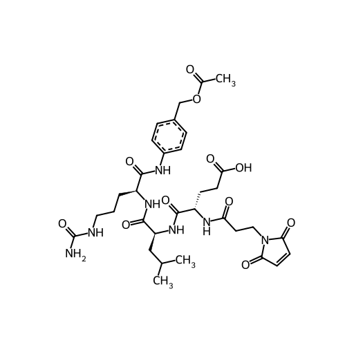 CC(=O)OCc1ccc(NC(=O)[C@H](CCCNC(N)=O)NC(=O)[C@H](CC(C)C)NC(=O)[C@H](CCC(=O)O)NC(=O)CCN2C(=O)C=CC2=O)cc1